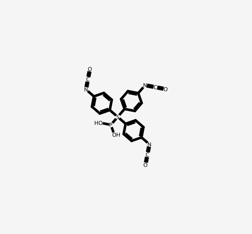 O=C=Nc1ccc(S(c2ccc(N=C=O)cc2)(c2ccc(N=C=O)cc2)P(O)O)cc1